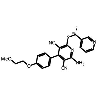 COCCOc1ccc(-c2c(C#N)c(N)nc(S[C@H](C)c3cccnc3)c2C#N)cc1